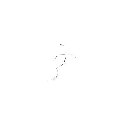 C=CCN[Si](OCC)(OCC)OCC